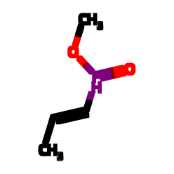 CC=C[PH](=O)OC